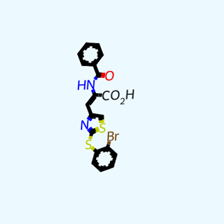 O=C(O)/C(=C\c1csc(Sc2ccccc2Br)n1)NC(=O)c1ccccc1